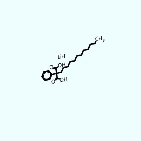 CCCCCCCCCCCCC(C(=O)O)(C(=O)O)c1ccccc1.[LiH]